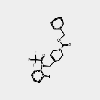 O=C(OCc1ccccc1)N1CC=C(CN(C(=O)C(F)(F)F)c2ccccc2I)CC1